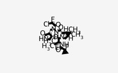 CCC(C)(C)[C@H](NC(=O)C1(F)CC1)C(=O)N1C[C@H]2[C@@H]([C@H]1C(=O)NN(C[C@@H]1CCNC1=O)C(=O)[C@H](F)Cl)C2(C)C